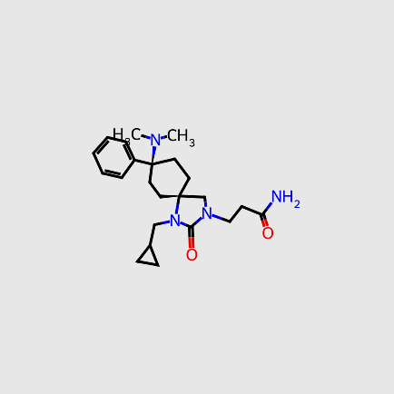 CN(C)[C@]1(c2ccccc2)CC[C@@]2(CC1)CN(CCC(N)=O)C(=O)N2CC1CC1